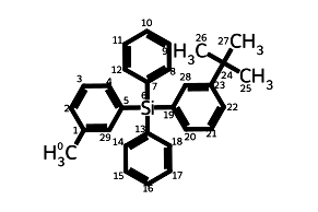 Cc1cccc([Si](c2ccccc2)(c2ccccc2)c2cccc(C(C)(C)C)c2)c1